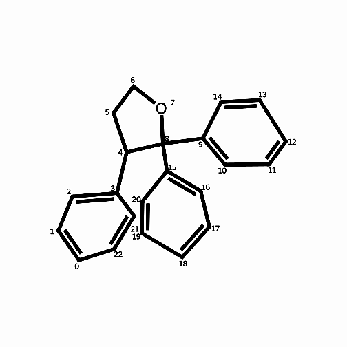 c1ccc(C2CCOC2(c2ccccc2)c2ccccc2)cc1